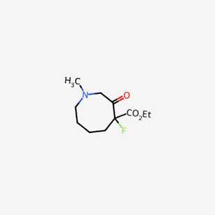 CCOC(=O)C1(F)CCCCN(C)CC1=O